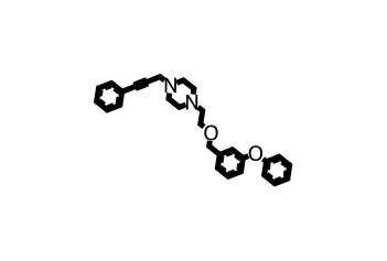 C(#Cc1ccccc1)CN1CCN(CCOCc2cccc(Oc3ccccc3)c2)CC1